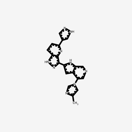 Cc1cn(-c2cncc3[nH]c(-c4n[nH]c5ccc(-c6cn[nH]c6)nc45)cc23)cn1